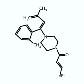 C=C(C)/C=C(\c1ccccc1C)N1CCN(C(=O)/C=C/CCC)CC1